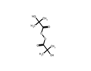 CC(C)(O)C(=O)OOC(=O)C(C)(C)O